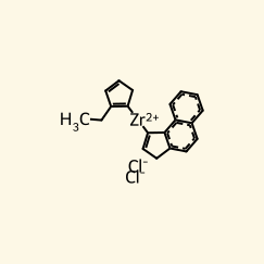 CCC1=[C]([Zr+2][C]2=CCc3ccc4ccccc4c32)CC=C1.[Cl-].[Cl-]